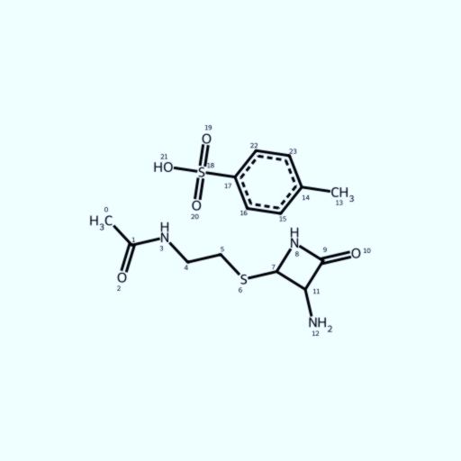 CC(=O)NCCSC1NC(=O)C1N.Cc1ccc(S(=O)(=O)O)cc1